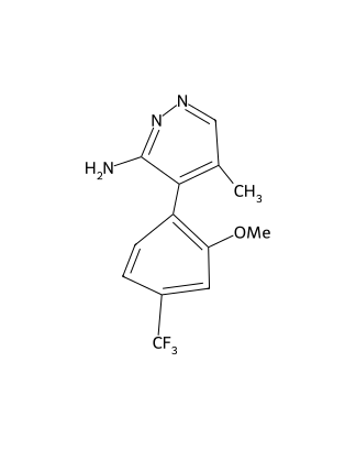 COc1cc(C(F)(F)F)ccc1-c1c(C)cnnc1N